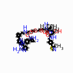 Cc1ncsc1-c1ccc(CNC(=O)[C@@H]2C[C@@H](O)CN2C(=O)C(NC(=O)COCCOCCOCC(=O)NCCc2cccc(-c3ccc4nc(-c5cccnc5N)n(-c5ccc(C6(N)CCC6)cc5)c4n3)c2)C(C)(C)C)cc1